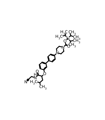 CC(C)CC(Oc1cccc(-c2ccc(N3CCN(C(=O)O[Si](C(C)C)(C(C)C)C(C)C)CC3)cc2)c1)C(=O)NCC#N